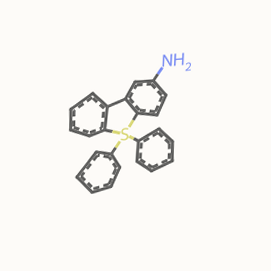 Nc1ccc2c(c1)-c1ccccc1S2(c1ccccc1)c1ccccc1